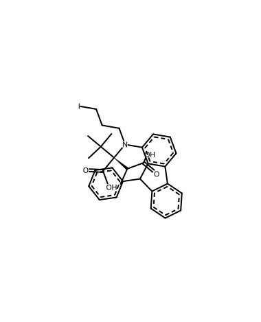 CC(C(=O)O)[C@](C(=O)O)(N(CCCI)c1cccc2c1C(c1ccccc1)c1ccccc1-2)C(C)(C)C